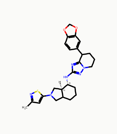 Cc1cc(N2CC3CCC[C@@H](Nc4nc5n(n4)CCCC5c4ccc5c(c4)OCO5)[C@@H]3C2)sn1